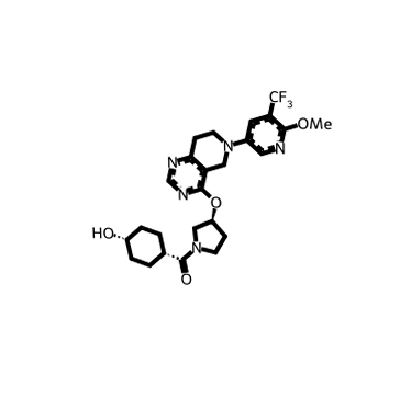 COc1ncc(N2CCc3ncnc(O[C@H]4CCN(C(=O)[C@H]5CC[C@@H](O)CC5)C4)c3C2)cc1C(F)(F)F